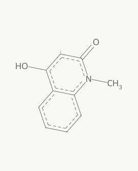 Cn1c(=O)[c]c(O)c2ccccc21